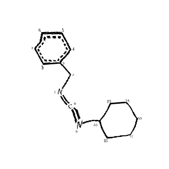 C(=NCc1ccccc1)=NC1CCCCC1